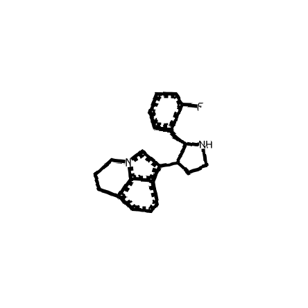 Fc1ccccc1C1NCCC1c1cn2c3c(cccc13)CCC2